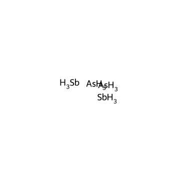 [AsH3].[AsH3].[SbH3].[SbH3]